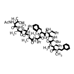 CC[C@H](C)[C@H](NC(=O)[C@H](CC(C)C)N(C)C(=O)[C@H](Cc1ccccc1)N(C)C(=O)[C@H](NC(=O)[C@H](C)NC(=O)[C@H](CC(C)C)N(C)C(=O)[C@H](C)NC(=O)[C@@H](NC(C)=O)[C@@H](C)O)C(C)C)C(=O)N(C)[C@@H](CC(C)C)C(=O)N(C)CCc1ccccc1